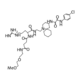 COCCOCCNC(=O)CCC(=O)NC(CCCNC(=N)N)C(=O)NCCN1CCC(NC(=O)C(=O)Nc2ccc(Cl)cc2)CC12CCCCC2